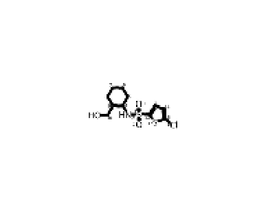 O=S(=O)(NC1CCCCC1CO)c1ccc(Cl)s1